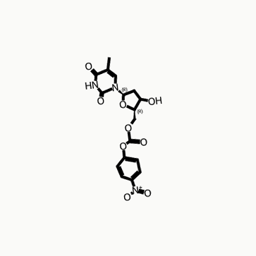 Cc1cn([C@H]2CC(O)[C@@H](COC(=O)Oc3ccc([N+](=O)[O-])cc3)O2)c(=O)[nH]c1=O